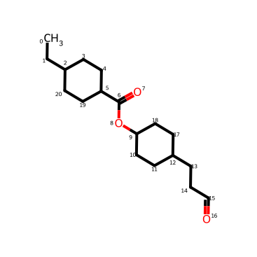 CCC1CCC(C(=O)OC2CCC(CCC=O)CC2)CC1